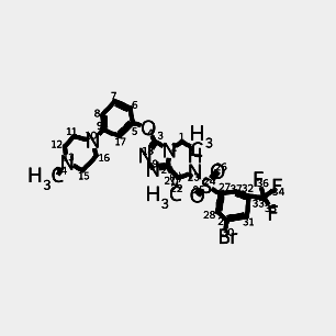 CCn1c(Oc2cccc(N3CCN(C)CC3)c2)nnc1[C@@H](C)NS(=O)(=O)c1cc(Br)cc(C(F)(F)F)c1